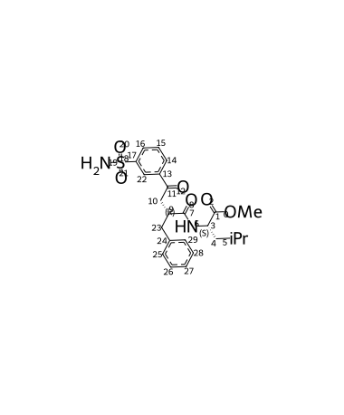 COC(=O)[C@H](CC(C)C)NC(=O)[C@@H](CC(=O)c1cccc(S(N)(=O)=O)c1)Cc1ccccc1